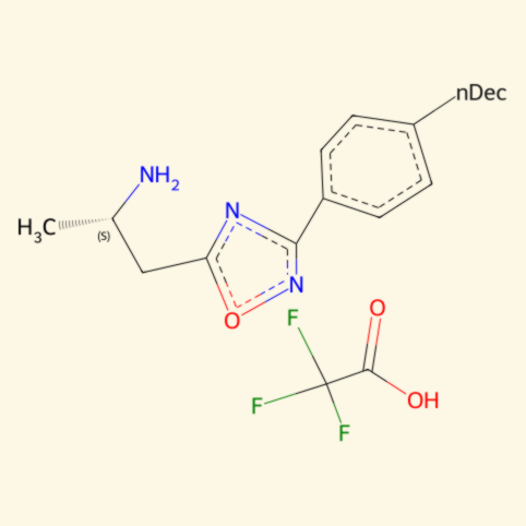 CCCCCCCCCCc1ccc(-c2noc(C[C@H](C)N)n2)cc1.O=C(O)C(F)(F)F